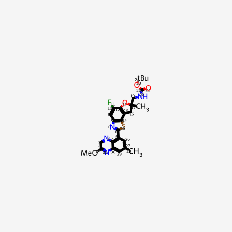 COc1cnc2c(-c3nc4cc(F)c5c(c4s3)CC(C)(CNC(=O)OC(C)(C)C)O5)cc(C)cc2n1